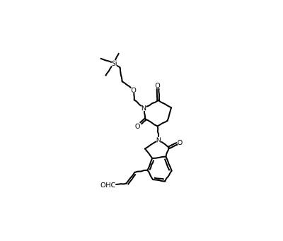 C[Si](C)(C)CCOCN1C(=O)CCC(N2Cc3c(/C=C/C=O)cccc3C2=O)C1=O